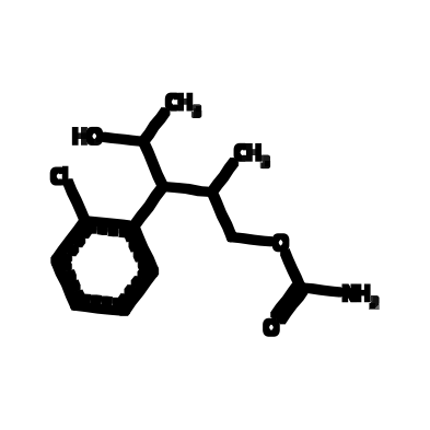 CC(O)C(c1ccccc1Cl)C(C)COC(N)=O